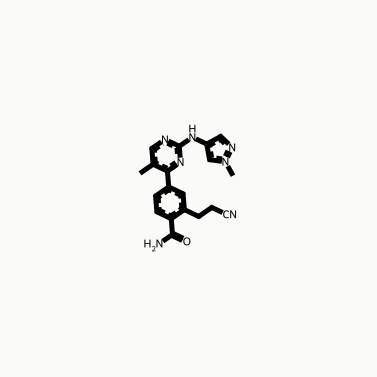 Cc1cnc(Nc2cnn(C)c2)nc1-c1ccc(C(N)=O)c(CCC#N)c1